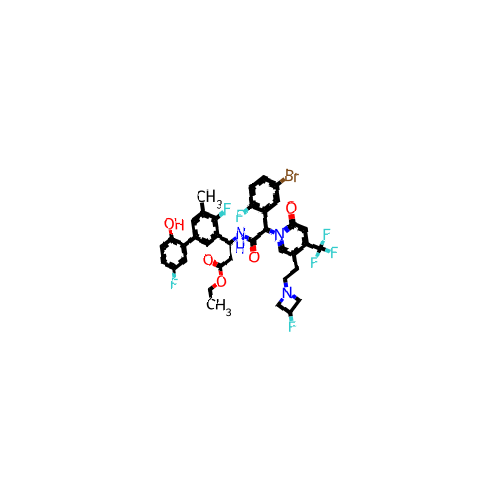 CCOC(=O)C[C@H](NC(=O)C(c1cc(Br)ccc1F)n1cc(CCN2CC(F)C2)c(C(F)(F)F)cc1=O)c1cc(-c2cc(F)ccc2O)cc(C)c1F